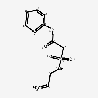 C=CCNS(=O)(=O)CC(=O)Nc1ccccc1